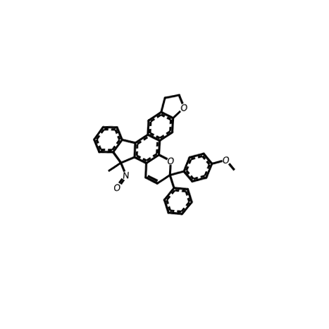 COc1ccc(C2(c3ccccc3)C=Cc3c4c(c5cc6c(cc5c3O2)OCC6)-c2ccccc2C4(C)N=O)cc1